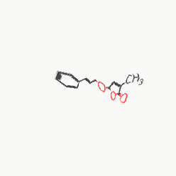 CC1=CC(OC/C=C/c2ccccc2)OC1=O